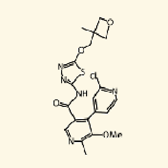 COc1c(C)ncc(C(=O)Nc2nnc(OCC3(C)COC3)s2)c1-c1ccnc(Cl)c1